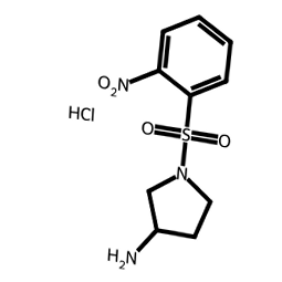 Cl.NC1CCN(S(=O)(=O)c2ccccc2[N+](=O)[O-])C1